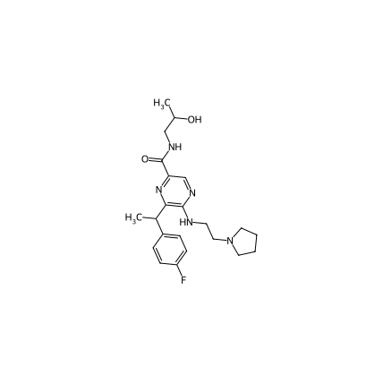 CC(O)CNC(=O)c1cnc(NCCN2CCCC2)c(C(C)c2ccc(F)cc2)n1